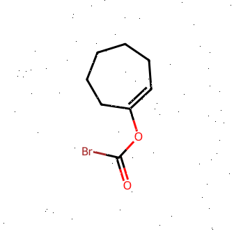 O=C(Br)OC1=CCCCCC1